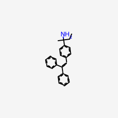 CCC(C)(N)c1ccc(C=C(c2ccccc2)c2ccccc2)cc1